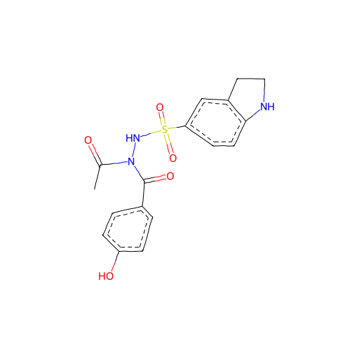 CC(=O)N(NS(=O)(=O)c1ccc2c(c1)CCN2)C(=O)c1ccc(O)cc1